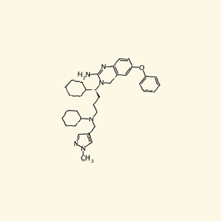 Cn1cc(CN(CCC[C@@H](C2CCCCC2)N2Cc3cc(Oc4ccccc4)ccc3N=C2N)C2CCCCC2)cn1